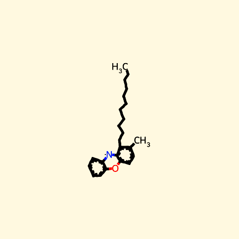 CCCCCCCCCCCc1c(C)ccc2c1[N]c1ccccc1O2